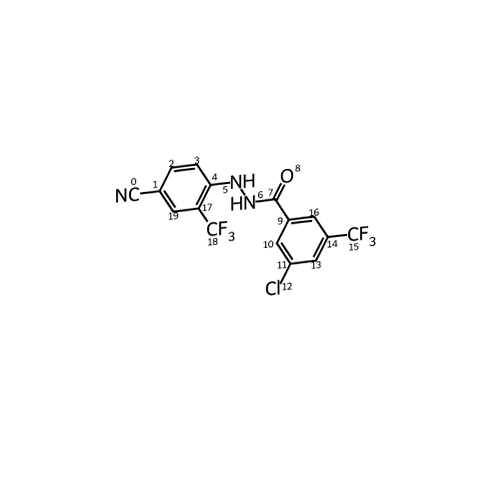 N#Cc1ccc(NNC(=O)c2cc(Cl)cc(C(F)(F)F)c2)c(C(F)(F)F)c1